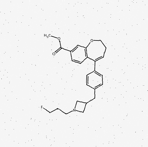 COC(=O)c1ccc2c(c1)OCCC=C2c1ccc(CC2CN(CCCF)C2)cc1